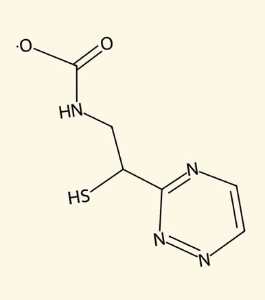 [O]C(=O)NCC(S)c1nccnn1